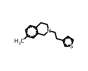 Cc1ccc2c(c1)CN(CCc1ccsc1)CC2